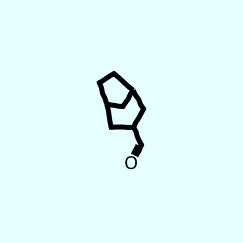 O=CC1CC2CCC(C1)C2